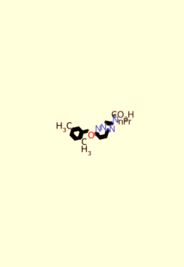 CCCN(C(=O)O)c1cn2nc(OCc3cc(C)ccc3C)ccc2n1